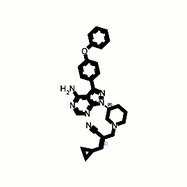 N#C/C(=C\C1CC1)CN1CCC[C@@H](n2nc(-c3ccc(Oc4ccccc4)cc3)c3c(N)ncnc32)C1